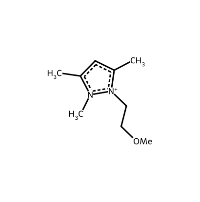 COCC[n+]1c(C)cc(C)n1C